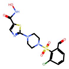 O=Cc1cccc(Cl)c1S(=O)(=O)N1CCN(c2ncc(C(=O)NO)s2)CC1